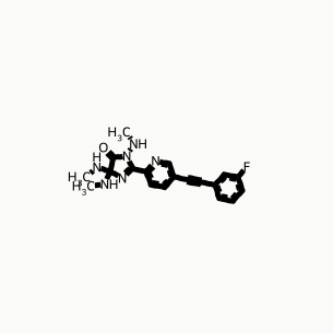 CNN1C(=O)C(NC)(NC)N=C1c1ccc(C#Cc2cccc(F)c2)cn1